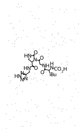 CCC(C)C(NC(=O)O)C(=O)NCC(=O)N1C(=O)NCC1C(=O)NCc1nn[nH]n1